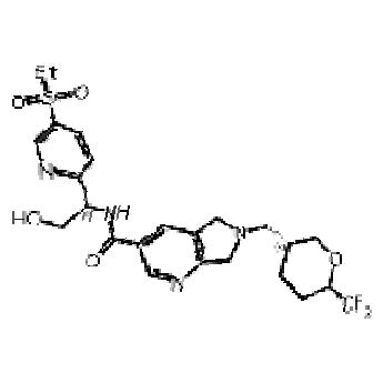 CCS(=O)(=O)c1ccc([C@H](CO)NC(=O)c2cnc3c(c2)CN(C[C@H]2CCC(C(F)(F)F)OC2)C3)nc1